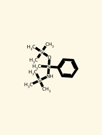 C[Si](C)(C)N[Si](C)(O[Si](C)(C)C)c1ccccc1